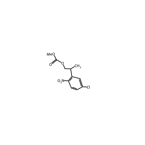 COC(=O)OCC(C)c1cc(Cl)ccc1[N+](=O)[O-]